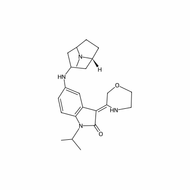 CC(C)N1C(=O)/C(=C2/COCCN2)c2cc(NC3CC4CC[C@H](C3)N4C)ccc21